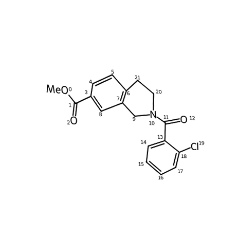 COC(=O)c1ccc2c(c1)CN(C(=O)c1ccccc1Cl)CC2